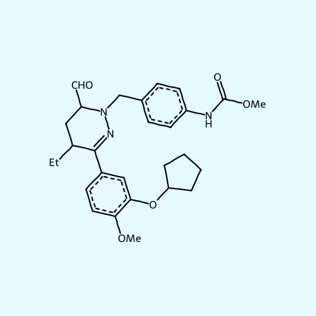 CCC1CC(C=O)N(Cc2ccc(NC(=O)OC)cc2)N=C1c1ccc(OC)c(OC2CCCC2)c1